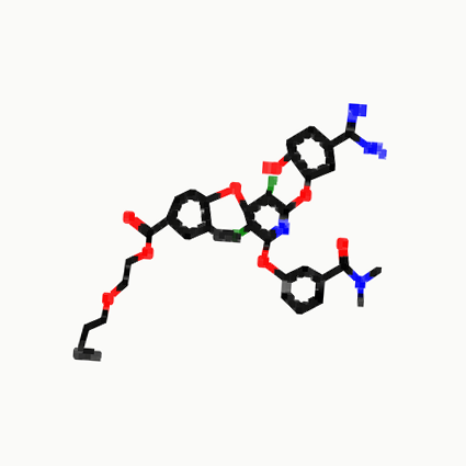 COCCOCCOC(=O)c1ccc(Oc2c(F)c(Oc3cccc(C(=O)N(C)C)c3)nc(Oc3cc(C(=N)N)ccc3O)c2F)c(OC)c1